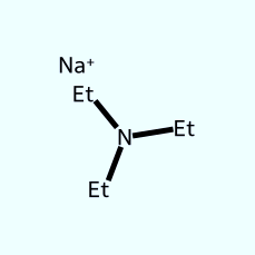 CCN(CC)CC.[Na+]